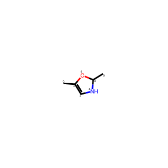 CC1=CNC(C)O1